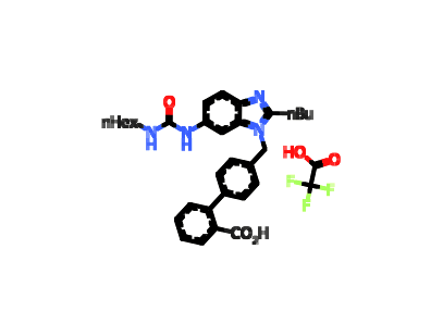 CCCCCCNC(=O)Nc1ccc2nc(CCCC)n(Cc3ccc(-c4ccccc4C(=O)O)cc3)c2c1.O=C(O)C(F)(F)F